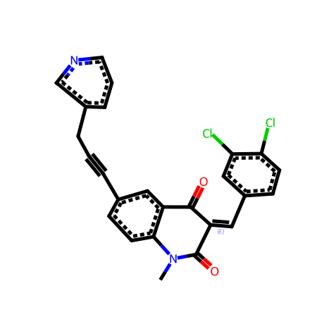 CN1C(=O)/C(=C/c2ccc(Cl)c(Cl)c2)C(=O)c2cc(C#CCc3cccnc3)ccc21